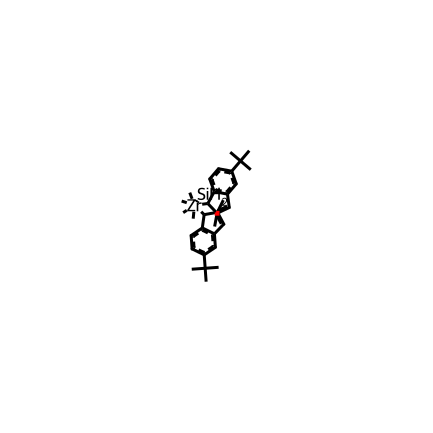 CC1=Cc2cc(C(C)(C)C)ccc2[CH]1[Zr]([CH3])([CH3])([CH3])([CH3])(=[SiH2])[CH]1C(C)=Cc2cc(C(C)(C)C)ccc21